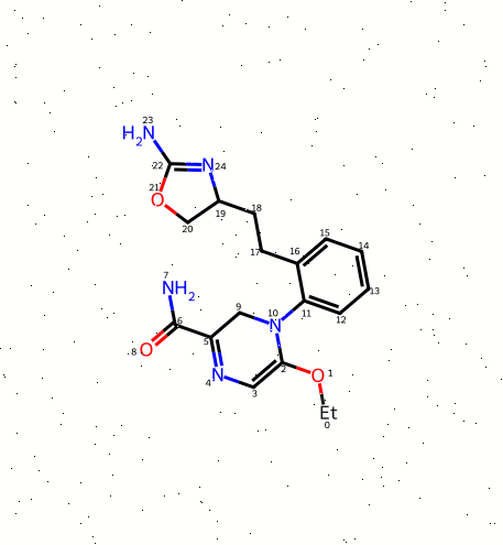 CCOC1=CN=C(C(N)=O)CN1c1ccccc1CCC1COC(N)=N1